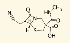 CNC(=O)C1(C(=O)O)CS[C@@H]2C(CC#N)C(=O)N2C1